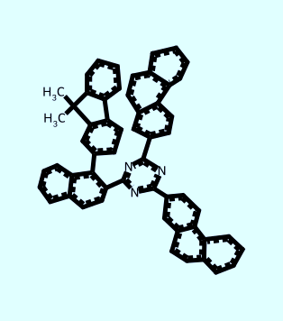 CC1(C)c2ccccc2-c2ccc(-c3c(-c4nc(-c5ccc6c(ccc7ccccc76)c5)nc(-c5ccc6c(ccc7ccccc76)c5)n4)ccc4ccccc34)cc21